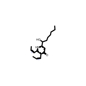 C/C=C\c1[nH]c(C(O)CCCCCC)cc(=O)c1/C=C\C